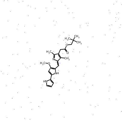 COc1cc(-c2ccc[nH]2)[nH]c1/C=C1\N=C(C)C(CC(=O)OCC(C)(C)C)=C1C